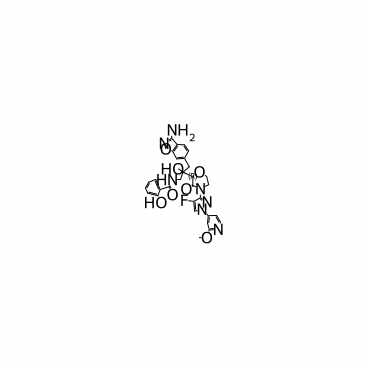 COc1cc(-n2cc(F)c(N3CCO[C@H](C(O)(CNC(=O)c4ccccc4O)Cc4ccc5c(N)noc5c4)C3=O)n2)ccn1